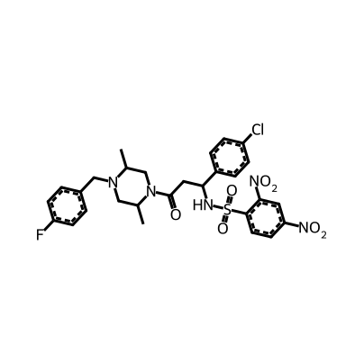 CC1CN(C(=O)CC(NS(=O)(=O)c2ccc([N+](=O)[O-])cc2[N+](=O)[O-])c2ccc(Cl)cc2)C(C)CN1Cc1ccc(F)cc1